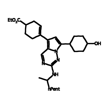 CCCCCC(C)Nc1ncc2c(C3=CCC(C(=O)OCC)CC3)cc(C3CCC(O)CC3)n2n1